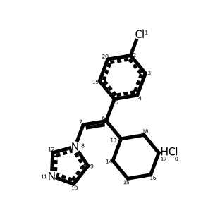 Cl.Clc1ccc(/C(=C/n2ccnc2)C2CCCCC2)cc1